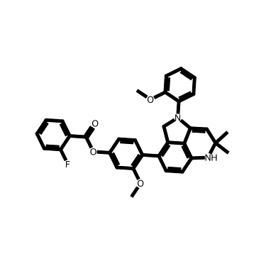 COc1cc(OC(=O)c2ccccc2F)ccc1-c1ccc2c3c1CN(c1ccccc1OC)C3=CC(C)(C)N2